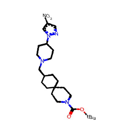 CC(C)(C)OC(=O)N1CCC2(CCC(CN3CCC(n4cc([N+](=O)[O-])cn4)CC3)CC2)CC1